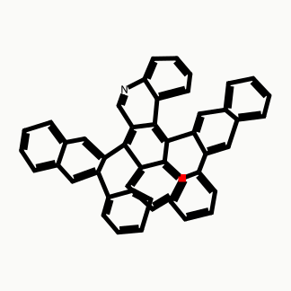 c1ccc(-c2cc3ccccc3cc2-c2c3ccccc3c(-c3cc4ccccc4cc3-c3ccccc3)c3c2cnc2ccccc23)cc1